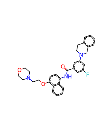 O=C(Nc1ccc(OCCN2CCOCC2)c2ccccc12)c1cc(F)cc(N2CCc3ccccc3C2)c1